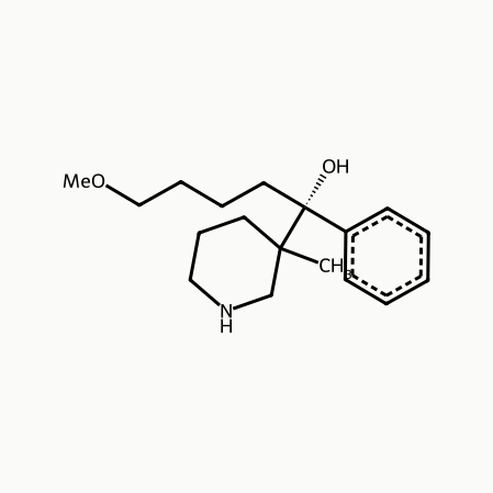 COCCCC[C@@](O)(c1ccccc1)C1(C)CCCNC1